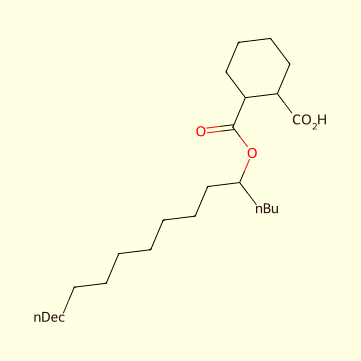 CCCCCCCCCCCCCCCCCC(CCCC)OC(=O)C1CCCCC1C(=O)O